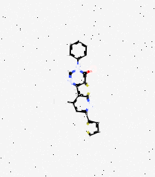 O=c1c2sc3nc(-c4cccs4)cc(C(F)(F)F)c3c2ncn1-c1ccccc1